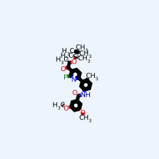 COc1cc(OC)cc(C(=O)Nc2ccc(C)c(-c3ccc(C(=O)[C@@H](C)O[Si](C)(C)C(C)(C)C)c(F)n3)c2)c1